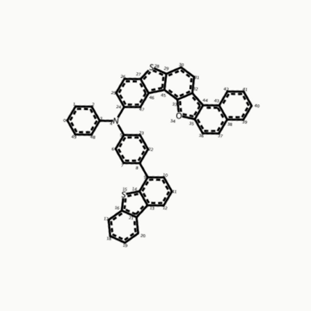 c1ccc(N(c2ccc(-c3cccc4c3sc3ccccc34)cc2)c2ccc3sc4ccc5c(oc6ccc7ccccc7c65)c4c3c2)cc1